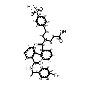 CC(NC(=O)c1ccccc1-c1ccccc1C(=O)N(CCC(=O)O)CCc1ccc(S(N)(=O)=O)cc1)c1ccc(F)cc1